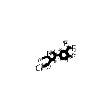 Cc1ncc(-c2ccc(F)c(C(F)F)c2)cc1CCl